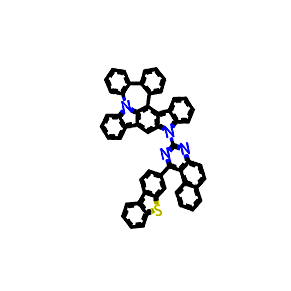 c1ccc2c(c1)-c1ccccc1-n1c3ccccc3c3cc4c(c-2c31)c1ccccc1n4-c1nc(-c2ccc3c(c2)sc2ccccc23)c2c(ccc3ccccc32)n1